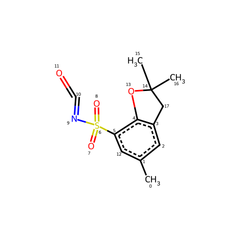 Cc1cc2c(c(S(=O)(=O)N=C=O)c1)OC(C)(C)C2